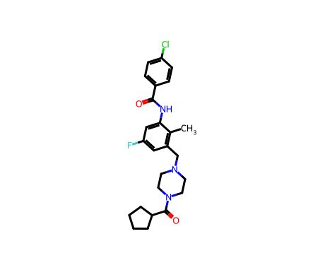 Cc1c(CN2CCN(C(=O)C3CCCC3)CC2)cc(F)cc1NC(=O)c1ccc(Cl)cc1